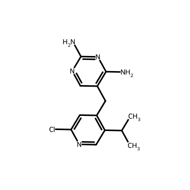 CC(C)c1cnc(Cl)cc1Cc1cnc(N)nc1N